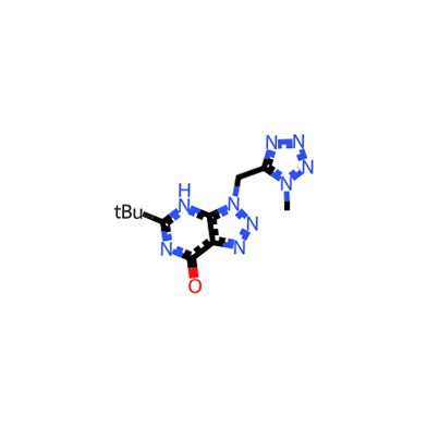 Cn1nnnc1Cn1nnc2c(=O)nc(C(C)(C)C)[nH]c21